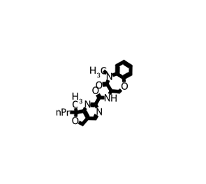 CCCC1(C)OCc2cnc(C(=O)NC3COc4ccccc4N(C)C3=O)nc21